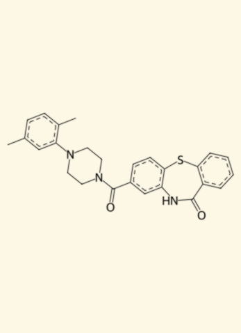 Cc1ccc(C)c(N2CCN(C(=O)c3ccc4c(c3)NC(=O)c3ccccc3S4)CC2)c1